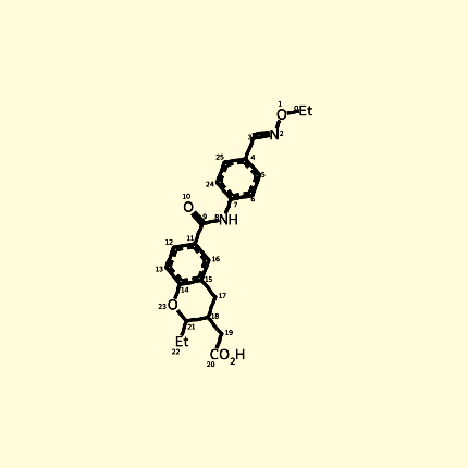 CCON=Cc1ccc(NC(=O)c2ccc3c(c2)CC(CC(=O)O)C(CC)O3)cc1